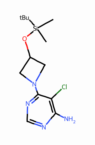 CC(C)(C)[Si](C)(C)OC1CN(c2ncnc(N)c2Cl)C1